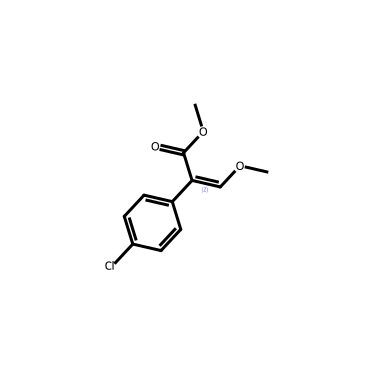 CO/C=C(\C(=O)OC)c1ccc(Cl)cc1